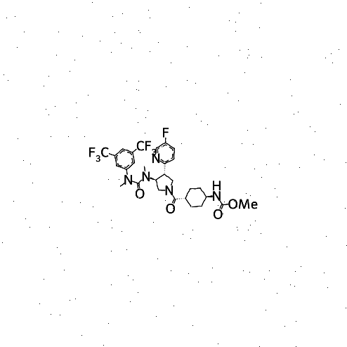 COC(=O)N[C@H]1CC[C@H](C(=O)N2C[C@@H](N(C)C(=O)N(C)c3cc(C(F)(F)F)cc(C(F)(F)F)c3)[C@H](c3ccc(F)cn3)C2)CC1